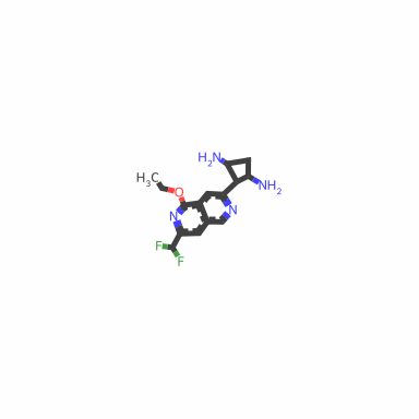 CCOc1nc(C(F)F)cc2cnc(C3C(N)CC3N)cc12